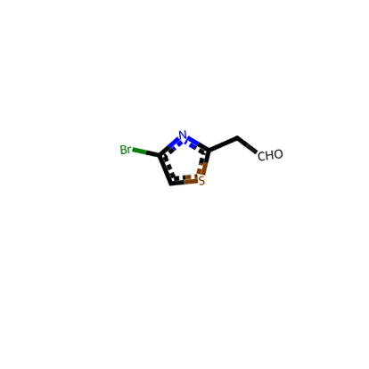 O=CCc1nc(Br)cs1